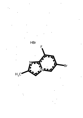 Br.Cc1cn2cc(Br)cc(F)c2n1